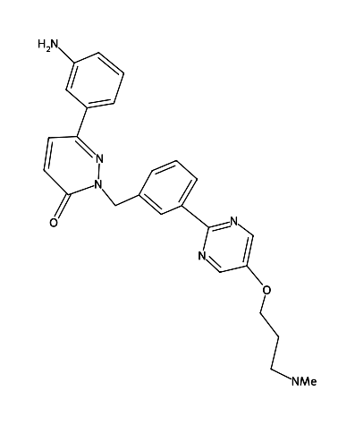 CNCCCOc1cnc(-c2cccc(Cn3nc(-c4cccc(N)c4)ccc3=O)c2)nc1